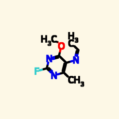 C/C=N\c1c(C)nc(F)nc1OC